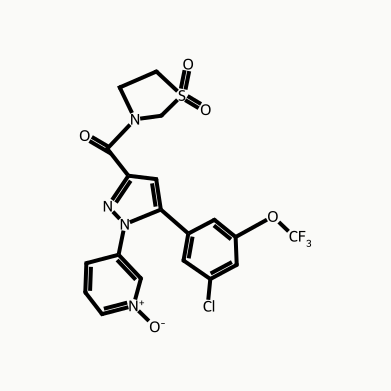 O=C(c1cc(-c2cc(Cl)cc(OC(F)(F)F)c2)n(-c2ccc[n+]([O-])c2)n1)N1CCS(=O)(=O)C1